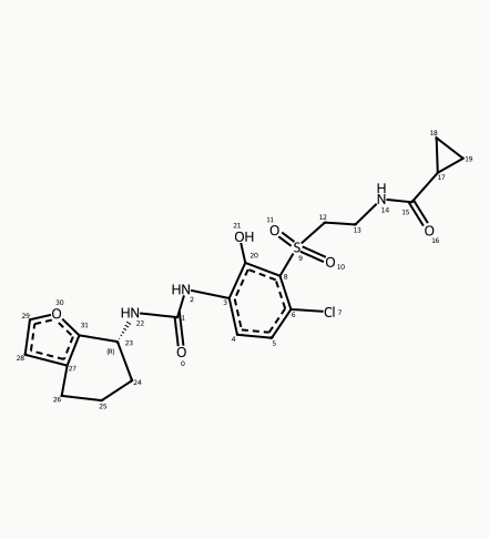 O=C(Nc1ccc(Cl)c(S(=O)(=O)CCNC(=O)C2CC2)c1O)N[C@@H]1CCCc2ccoc21